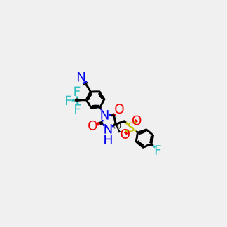 C[C@@]1(CS(=O)(=O)c2ccc(F)cc2)NC(=O)N(c2ccc(C#N)c(C(F)(F)F)c2)C1=O